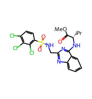 COC(=O)[C@@H](Nc1nc(CNS(=O)(=O)c2ccc(Cl)c(Cl)c2Cl)nc2ccccc12)C(C)C